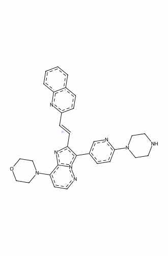 C(=C\c1nc2c(N3CCOCC3)ccnn2c1-c1ccc(N2CCNCC2)nc1)/c1ccc2ccccc2n1